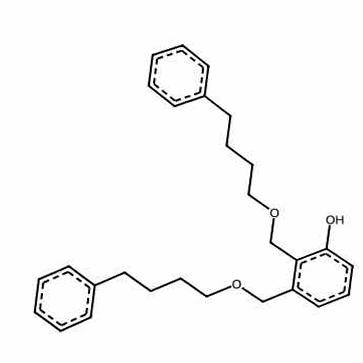 Oc1cccc(COCCCCc2ccccc2)c1COCCCCc1ccccc1